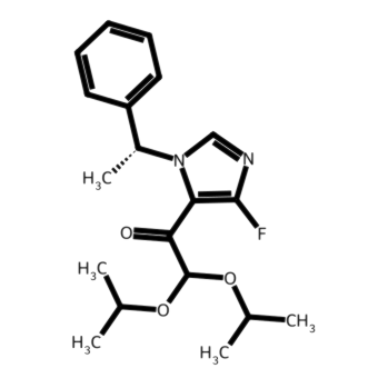 CC(C)OC(OC(C)C)C(=O)c1c(F)ncn1[C@H](C)c1ccccc1